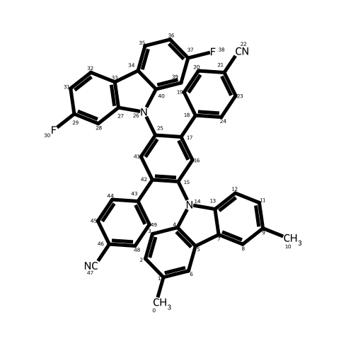 Cc1ccc2c(c1)c1cc(C)ccc1n2-c1cc(-c2ccc(C#N)cc2)c(-n2c3cc(F)ccc3c3ccc(F)cc32)cc1-c1ccc(C#N)cc1